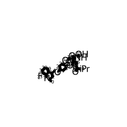 Cc1cc(COc2ccc(S(=O)(=O)N(C)C3(C(=O)NO)CN(C(=O)C(C)C)C3)cc2)c2cccc(F)c2n1